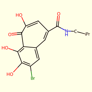 CC(C)CNC(=O)c1cc(O)c(=O)c2c(O)c(O)c(Br)cc2c1